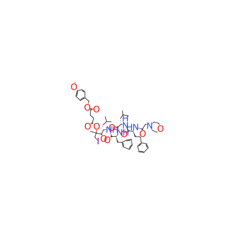 COc1ccc(COC(=O)CCC(=O)OC(C)(CI)C(=O)[C@H](CC(C)C)NC(=O)[C@H](Cc2ccccc2)NC(=O)[C@H](CC(C)C)NC(=O)[C@H](CCc2ccccc2)NC(=O)CN2CCOCC2)cc1